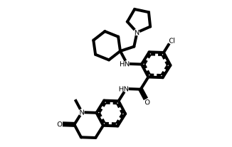 CN1C(=O)CCc2ccc(NC(=O)c3ccc(Cl)cc3NC3(CN4CCCC4)CCCCC3)cc21